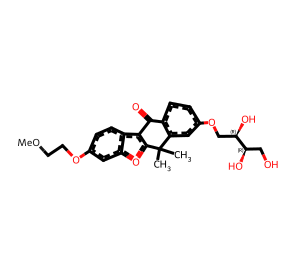 COCCOc1ccc2c3c(oc2c1)C(C)(C)c1cc(OC[C@@H](O)[C@H](O)CO)ccc1C3=O